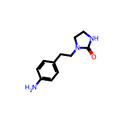 Nc1ccc(CCN2CCNC2=O)cc1